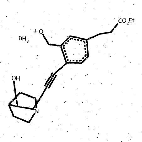 B.CCOC(=O)CCc1ccc(C#CC2C(O)C3CCN2CC3)c(CO)c1